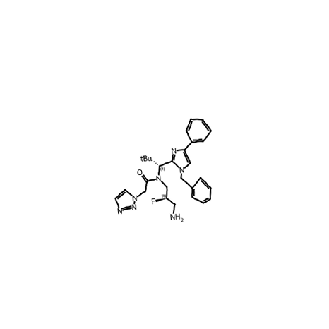 CC(C)(C)[C@H](c1nc(-c2ccccc2)cn1Cc1ccccc1)N(C[C@H](F)CN)C(=O)Cn1ccnn1